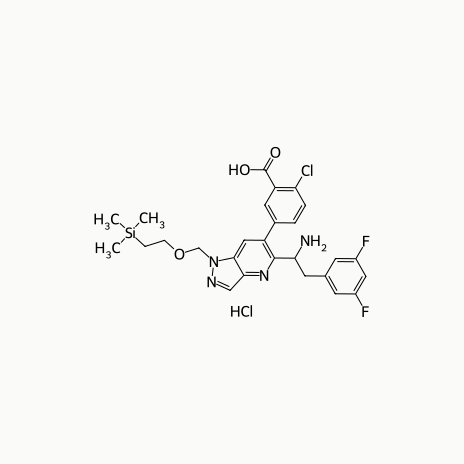 C[Si](C)(C)CCOCn1ncc2nc(C(N)Cc3cc(F)cc(F)c3)c(-c3ccc(Cl)c(C(=O)O)c3)cc21.Cl